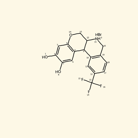 Br.Oc1cc2c(cc1O)C1c3cc(C(F)(F)F)ccc3CNC1CO2